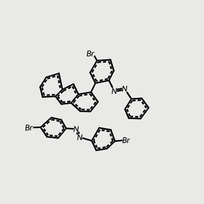 Brc1ccc(N=Nc2ccc(Br)cc2)cc1.Brc1ccc(N=Nc2ccccc2)c(-c2cccc3cc4ccccc4cc23)c1